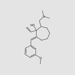 C=CC1(O)/C(=C/c2cccc(OC)c2)CCCCC1CN(C)C